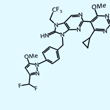 COc1ncnc(C2CC2)c1-c1ncc2c(n1)n(Cc1ccc(-n3nc(C(F)F)cc3OC)cc1)c(=N)n2CC(F)(F)F